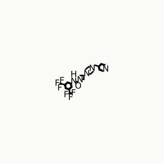 O=C(Nc1cc(C(F)(F)F)cc(C(F)(F)F)c1)N1CC(N2CCN(Cc3ccncc3)CC2)C1